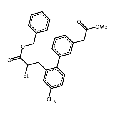 CCC(Cc1cc(C)ccc1-c1cccc(CC(=O)OC)c1)C(=O)OCc1ccccc1